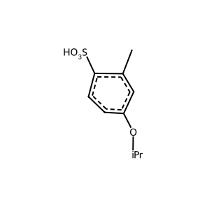 Cc1cc(OC(C)C)ccc1S(=O)(=O)O